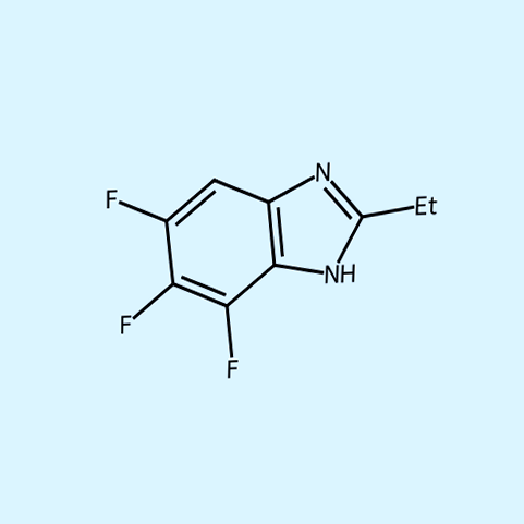 CCc1nc2cc(F)c(F)c(F)c2[nH]1